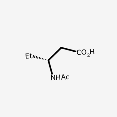 CC[C@H](CC(=O)O)NC(C)=O